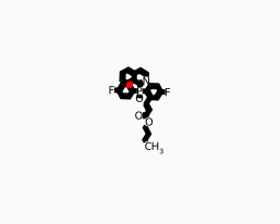 CCCCOC(=O)C=Cc1cc(F)ccc1P(=O)(c1ccc(F)cc1)c1nccc2ccccc12